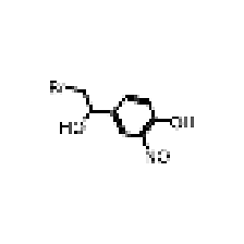 O=Nc1cc([C@@H](O)CBr)ccc1O